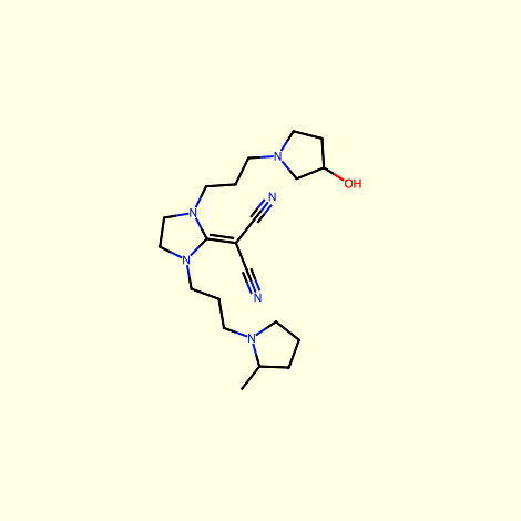 CC1CCCN1CCCN1CCN(CCCN2CCC(O)C2)C1=C(C#N)C#N